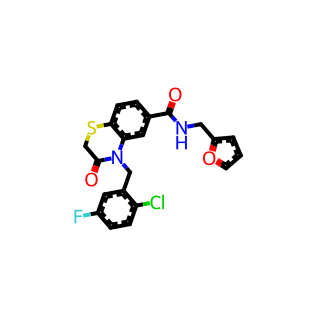 O=C(NCc1ccco1)c1ccc2c(c1)N(Cc1cc(F)ccc1Cl)C(=O)CS2